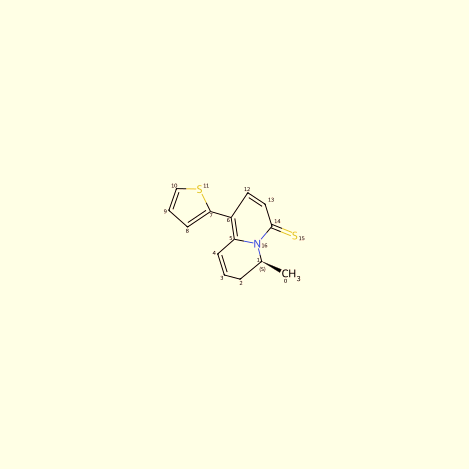 C[C@H]1CC=Cc2c(-c3cccs3)ccc(=S)n21